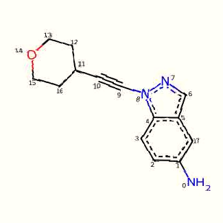 Nc1ccc2c(cnn2C#CC2CCOCC2)c1